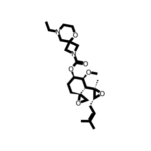 CCN1CCOC2(C1)CN(C(=O)O[C@@H]1CC[C@]3(CO3)[C@@H]([C@@]3(C)O[C@@H]3CC=C(C)C)[C@@H]1OC)C2